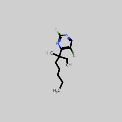 CCCCCC(C)(CC)c1nc(F)ncc1Cl